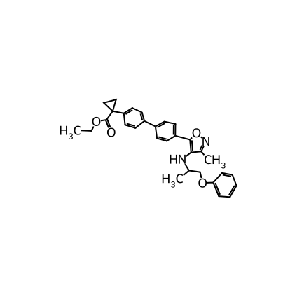 CCOC(=O)C1(c2ccc(-c3ccc(-c4onc(C)c4NC(C)COc4ccccc4)cc3)cc2)CC1